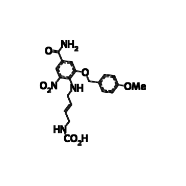 COc1ccc(COc2cc(C(N)=O)cc([N+](=O)[O-])c2NCC=CCNC(=O)O)cc1